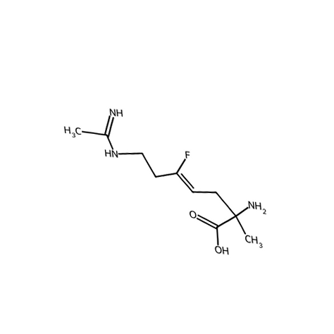 CC(=N)NCCC(F)=CCC(C)(N)C(=O)O